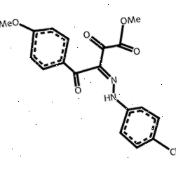 COC(=O)C(=O)/C(=N/Nc1ccc(Cl)cc1)C(=O)c1ccc(OC)cc1